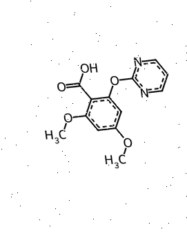 COc1cc(OC)c(C(=O)O)c(Oc2ncccn2)c1